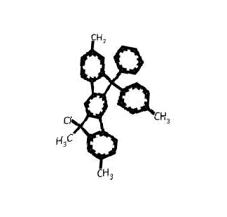 Cc1ccc(C2(c3ccccc3)c3cc(C)ccc3-c3cc4c(cc32)-c2ccc(C)cc2C4(C)Cl)cc1